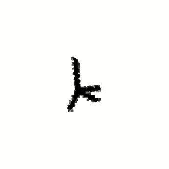 CCCCCCCCCCCCC[N+](CCCCCCCC)(CCCCCCCC)CCCCCCCC